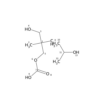 CC(C)(CO)COC(=O)O.CC(C)O